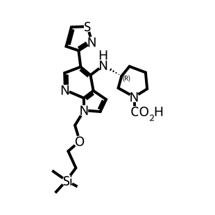 C[Si](C)(C)CCOCn1ccc2c(N[C@@H]3CCCN(C(=O)O)C3)c(-c3ccsn3)cnc21